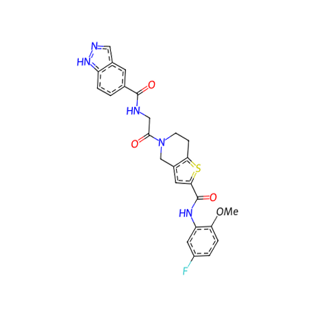 COc1ccc(F)cc1NC(=O)c1cc2c(s1)CCN(C(=O)CNC(=O)c1ccc3[nH]ncc3c1)C2